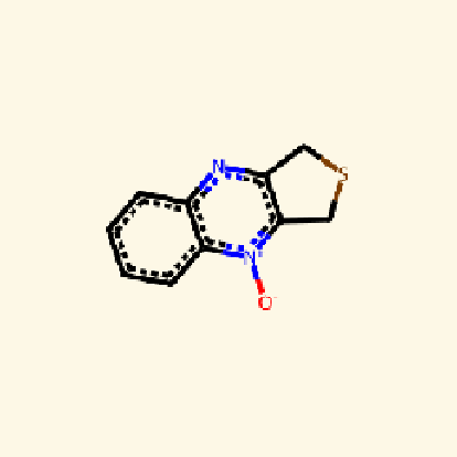 [O-][n+]1c2c(nc3ccccc31)CSC2